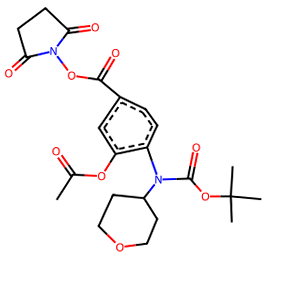 CC(=O)Oc1cc(C(=O)ON2C(=O)CCC2=O)ccc1N(C(=O)OC(C)(C)C)C1CCOCC1